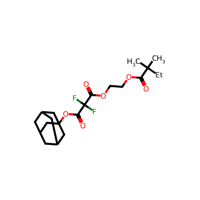 CCC(C)(C)C(=O)OCCOC(=O)C(F)(F)C(=O)OC12CC3CC(CC(C3)C1)C2